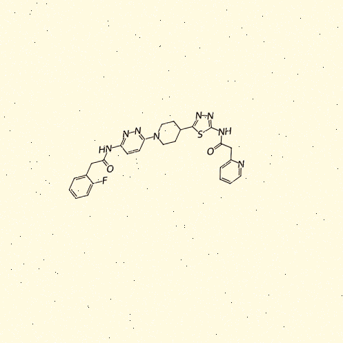 O=C(Cc1ccccc1F)Nc1ccc(N2CCC(c3nnc(NC(=O)Cc4ccccn4)s3)CC2)nn1